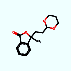 BC1(CCC2OCCCO2)OC(=O)c2ccccc21